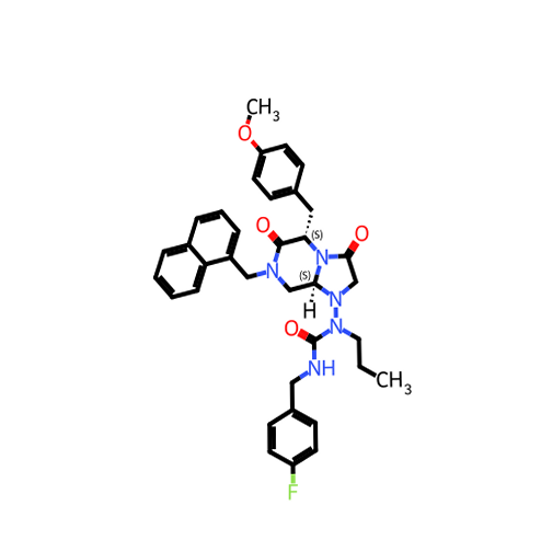 CCCN(C(=O)NCc1ccc(F)cc1)N1CC(=O)N2[C@@H](Cc3ccc(OC)cc3)C(=O)N(Cc3cccc4ccccc34)C[C@@H]21